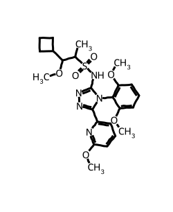 COc1cccc(-c2nnc(NS(=O)(=O)C(C)C(OC)C3CCC3)n2-c2c(OC)cccc2OC)n1